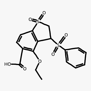 CCOc1c(C(=O)O)ccc2c1C(S(=O)(=O)c1ccccc1)CS2(=O)=O